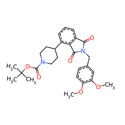 COc1ccc(CN2C(=O)c3cccc(C4CCN(C(=O)OC(C)(C)C)CC4)c3C2=O)cc1OC